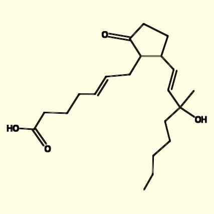 CCCCCC(C)(O)C=CC1CCC(=O)C1CC=CCCCC(=O)O